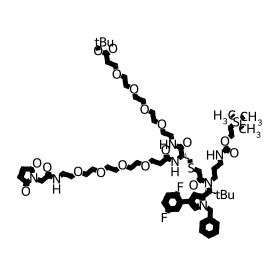 CC(C)(C)OC(=O)CCOCCOCCOCCOCCNC(=O)[C@H](CSCC(=O)N(CCCNC(=O)OCC[Si](C)(C)C)[C@@H](c1cc(-c2cc(F)ccc2F)cn1Cc1ccccc1)C(C)(C)C)NC(=O)CCOCCOCCOCCOCCNC(=O)CN1C(=O)C=CC1=O